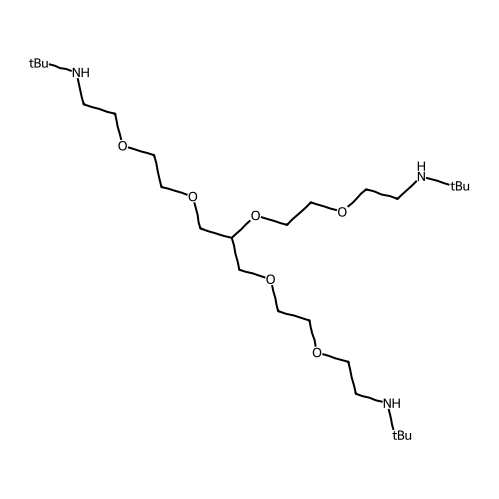 CC(C)(C)NCCOCCOCC(COCCOCCNC(C)(C)C)OCCOCCNC(C)(C)C